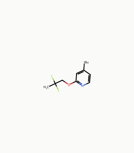 CC(F)(F)COc1cc(C(C)(C)C)ccn1